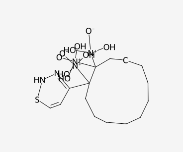 [O-][N+](O)(O)C1(C2=NNSC=C2)CCCCCCCCCCC1([N+]([O-])(O)O)[N+]([O-])(O)O